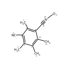 Cc1c(C)c(C#N)c(C)c(C#[N+][O-])c1C